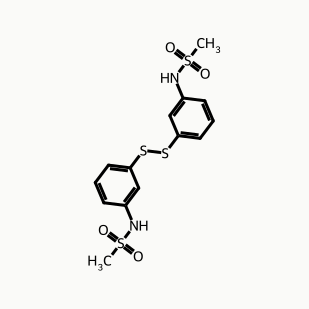 CS(=O)(=O)Nc1cccc(SSc2cccc(NS(C)(=O)=O)c2)c1